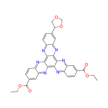 CCOC(=O)c1ccc2nc3c4nc5ccc(C6COCO6)cc5nc4c4nc5cc(C(=O)OCC)ccc5nc4c3nc2c1